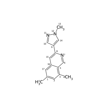 Cc1cc(C)c2cnc(-c3cnn(C)c3)cc2c1